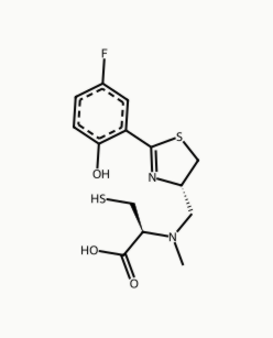 CN(C[C@H]1CSC(c2cc(F)ccc2O)=N1)[C@H](CS)C(=O)O